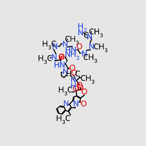 CCc1c2c(nc3ccccc13)-c1cc3c(c(=O)n1C2)COC(=O)[C@@]3(CC)OC(=O)[C@@H](NC(=O)[C@@H]1CCCN1C(=O)[C@H](CC(N)=O)NC(=O)CN(C)CCN(C)CCN(C)CCNC(=O)CN(C)CCN(C)CCN(C)CCN)C(C)C